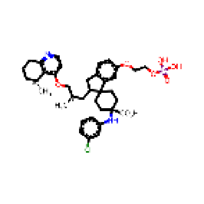 C[C@@H](COc1ccnc2c1[C@H](C)CCC2)CC1Cc2ccc(OCCOP(=O)(O)O)cc2C12CCC(Nc1cccc(Cl)c1)(C(=O)O)CC2